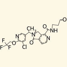 CC(c1cnc(OCC(F)(F)F)c(Cl)c1)N1Cc2c(ccnc2C(=O)NCCC=O)C1=O